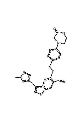 COc1cc2nnc(-c3cc(C)on3)n2nc1OCc1ccc(N2CCNC(=O)C2)nn1